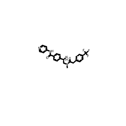 CN(CC(N)c1ccc(C(=O)Nc2ccncc2)cc1)C(=O)Cc1ccc(C(F)(F)F)cc1